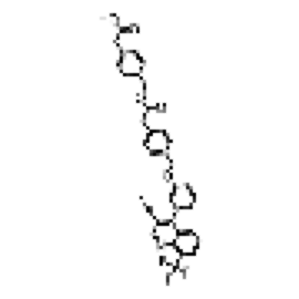 N#Cc1cnc2c(C(F)(F)F)cccc2c1-c1cccc(OCc2ccc(CC(=O)OCc3ccc(CC(=O)O)cc3)cc2)c1